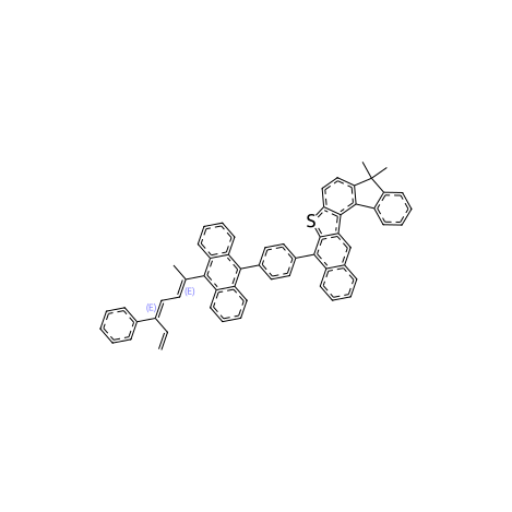 C=C/C(=C\C=C(/C)c1c2ccccc2c(-c2ccc(-c3c4ccccc4cc4c3sc3ccc5c(c34)-c3ccccc3C5(C)C)cc2)c2ccccc12)c1ccccc1